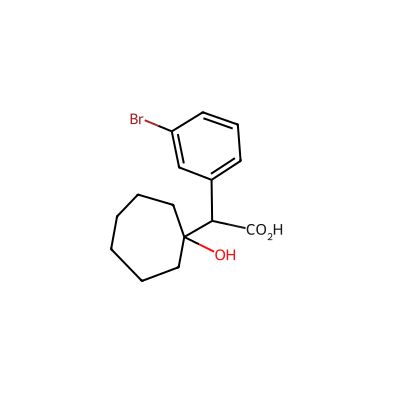 O=C(O)C(c1cccc(Br)c1)C1(O)CCCCCC1